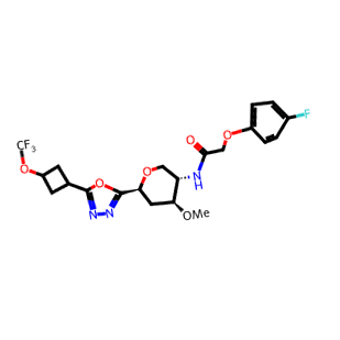 CO[C@H]1C[C@@H](c2nnc(C3CC(OC(F)(F)F)C3)o2)OC[C@@H]1NC(=O)COc1ccc(F)cc1